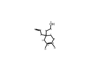 C=CCC1(CCO)CCC(C)=C(C)C1